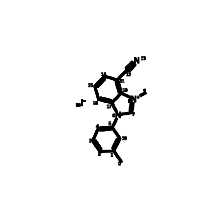 Cc1cccc(-n2c[n+](C)c3c(C#N)cccc32)c1.[I-]